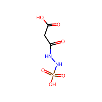 O=C(O)CC(=O)NNS(=O)(=O)O